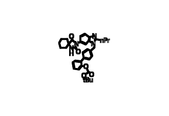 CCCc1nc2ccc(N3C(=O)NC4(CCCCC4)C3=O)cc2n1Cc1ccc(-c2ccccc2OC(=O)OC(C)(C)C)cc1